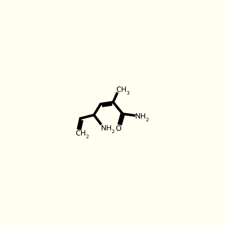 C=CC(N)C=C(C)C(N)=O